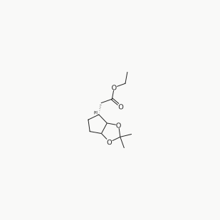 CCOC(=O)C[C@H]1CCC2OC(C)(C)OC21